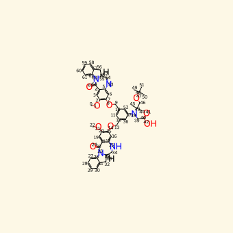 COc1cc2c(cc1OCc1cc(COc3cc4c(cc3OC)C(=O)N3c5ccccc5C[C@H]3CN4)cc(N(CC(=O)O)C(C)(C)COC(C)(C)C)c1)N=C[C@@H]1Cc3ccccc3N1C2=O